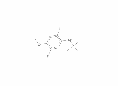 COc1cc(F)c(NC(C)(C)C)cc1F